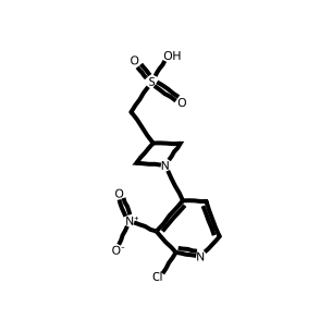 O=[N+]([O-])c1c(N2CC(CS(=O)(=O)O)C2)ccnc1Cl